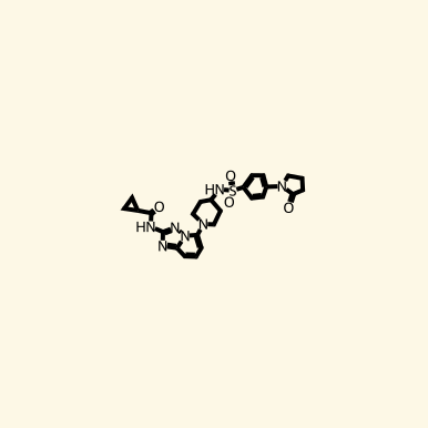 O=C(Nc1nc2cccc(N3CCC(NS(=O)(=O)c4ccc(N5CCCC5=O)cc4)CC3)n2n1)C1CC1